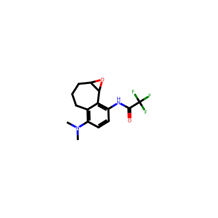 CN(C)c1ccc(NC(=O)C(F)(F)F)c2c1CCCC1OC21